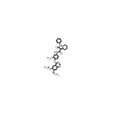 COc1cc2ncnc(Oc3ccc(NC(=O)c4c5n(n(-c6ccccc6)c4=O)CCCC5)cc3C)c2cc1OC